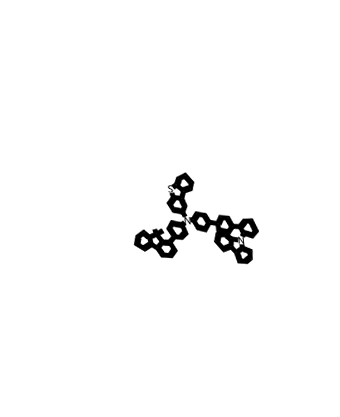 CC1(C)c2ccccc2-c2cccc(-c3ccc(N(c4ccc(-c5ccc(-c6ccccc6-n6c7ccccc7c7ccccc76)cc5)cc4)c4ccc5sc6ccccc6c5c4)cc3)c21